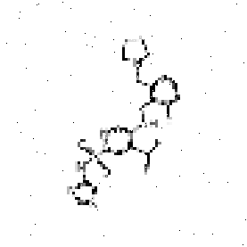 O=S(=O)(Nc1cscn1)c1cc(C(F)F)c(NCc2c(F)cccc2CN2CCCC2)cn1